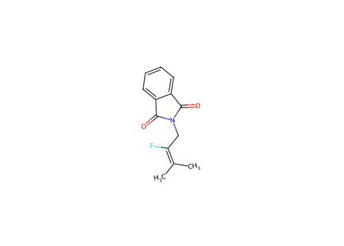 CC(C)=C(F)CN1C(=O)c2ccccc2C1=O